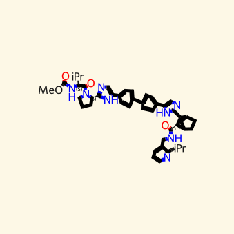 COC(=O)N[C@H](C(=O)N1CCC[C@H]1c1ncc(-c2ccc(-c3ccc(-c4cnc(C5C6CCC(C6)[C@@H]5C(=O)NCc5cccnc5C(C)C)[nH]4)cc3)cc2)[nH]1)C(C)C